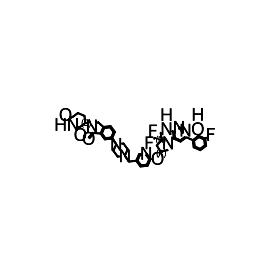 O=C1CC[C@H](N2Cc3ccc(N4CCN(Cc5ccc(O[C@H]6CN7c8cc(-c9cccc(F)c9O)nnc8NC[C@@]7(C(F)F)C6)nc5)CC4)cc3C2=O)C(=O)N1